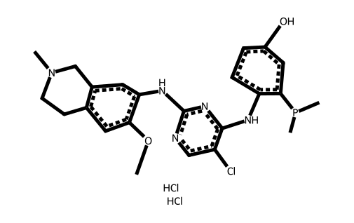 COc1cc2c(cc1Nc1ncc(Cl)c(Nc3ccc(O)cc3P(C)C)n1)CN(C)CC2.Cl.Cl